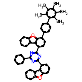 Bc1c(B)c(B)c(-c2ccc(-c3ccc(-c4nc(-c5ccccc5)nc(-c5cccc6oc7ccccc7c56)n4)c4c3oc3ccccc34)cc2)c(B)c1B